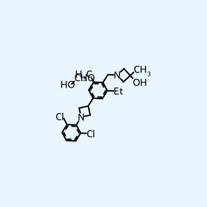 CCc1cc(C2CN(c3c(Cl)cccc3Cl)C2)cc(C)c1CN1CC(C)(O)C1.O=CO